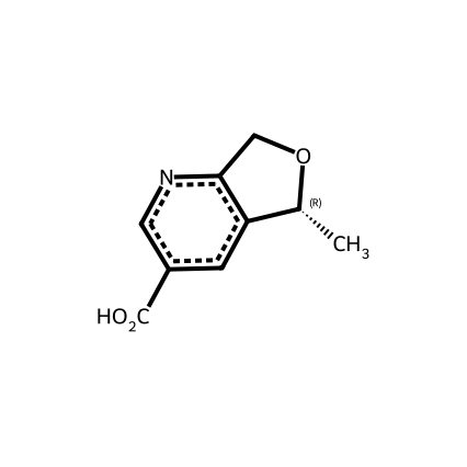 C[C@H]1OCc2ncc(C(=O)O)cc21